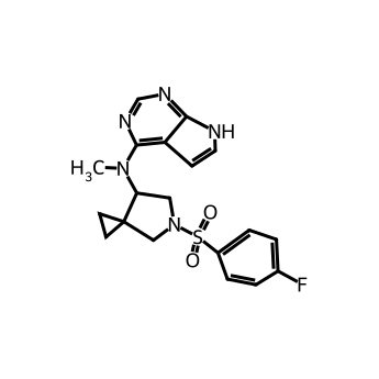 CN(c1ncnc2[nH]ccc12)C1CN(S(=O)(=O)c2ccc(F)cc2)CC12CC2